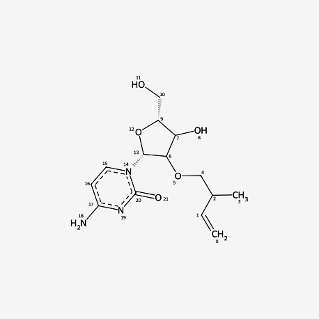 C=CC(C)COC1C(O)[C@@H](CO)O[C@H]1n1ccc(N)nc1=O